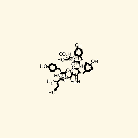 C#CC[C@H](N)C(=O)N[C@@H](Cc1ccc(O)cc1)C(=O)N[C@@H](CO)C(=O)N[C@@H](Cc1ccc(O)cc1)C(=O)N[C@@H](Cc1ccc(O)cc1)C(=O)N[C@@H](CO)C(=O)O